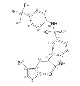 O=C1Nc2ccc(S(=O)(=O)Nc3ccc(C(F)(F)F)cc3)cc2C1=Cc1sccc1Br